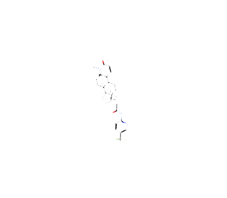 CN1C(=O)C=C[C@]2(C)[C@H]3CC[C@]4(C)[C@@H](CC(=O)Nc5ccc(C(F)(F)F)cn5)CC[C@H]4[C@@H]3CC[C@@H]12